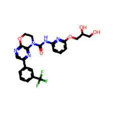 O=C(Nc1cccc(OCC(O)CO)n1)N1CCOc2ncc(-c3cccc(C(F)(F)F)c3)nc21